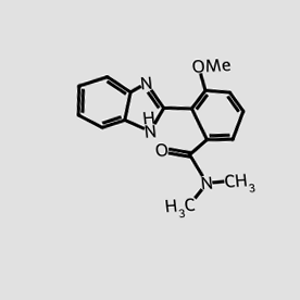 COc1cccc(C(=O)N(C)C)c1-c1nc2ccccc2[nH]1